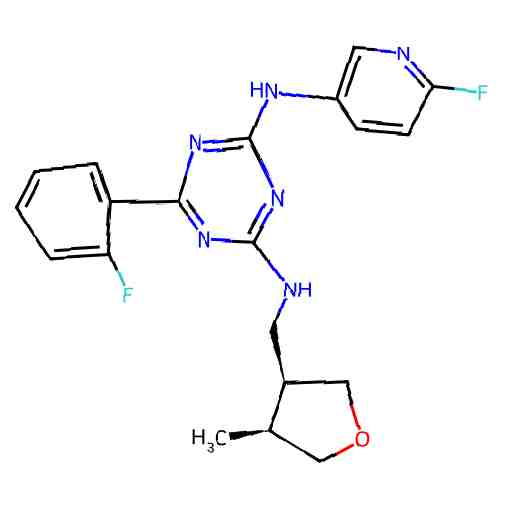 C[C@@H]1COC[C@@H]1CNc1nc(Nc2ccc(F)nc2)nc(-c2ccccc2F)n1